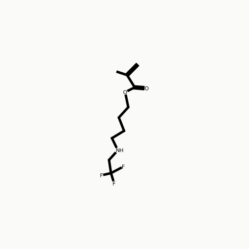 C=C(C)C(=O)OCCCCNCC(F)(F)F